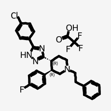 Fc1ccc([C@@H]2CN(CCc3ccccc3)CC[C@H]2c2n[nH]c(-c3ccc(Cl)cc3)n2)cc1.O=C(O)C(F)(F)F